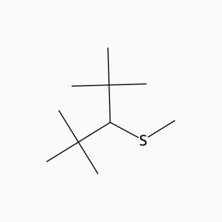 CSC(C(C)(C)C)C(C)(C)C